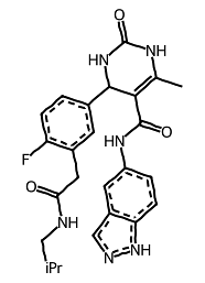 CC1=C(C(=O)Nc2ccc3[nH]ncc3c2)C(c2ccc(F)c(CC(=O)NCC(C)C)c2)NC(=O)N1